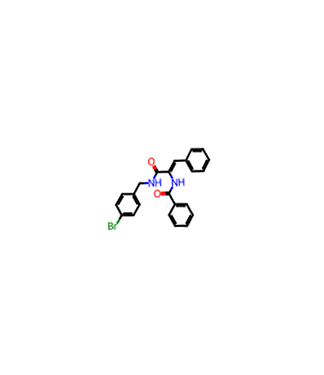 O=C(NCc1ccc(Br)cc1)/C(=C/c1ccccc1)NC(=O)c1ccccc1